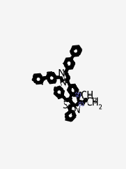 C=C/C=C(\C=C/C)c1nc2ccccc2c2sc(-c3ccccc3)c(-c3cccc(-c4cc(-c5ccc(-c6ccccc6)cc5)nc(-c5ccc(-c6ccccc6)cc5)n4)c3)c12